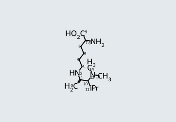 C=C(NCCCCC(N)C(=O)O)C(C(C)C)N(C)C